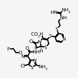 N=C(N)NCCSc1cnccc1SC1=C(C(=O)O)N2C(=O)[C@@H](NC(=O)/C(=N\OCCF)c3nc(N)sc3Cl)[C@@H]2SC1